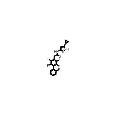 O=C(Cc1c(F)c(F)c(-c2ccccc2F)c(F)c1F)Nc1cc(C2CC2)[nH]n1